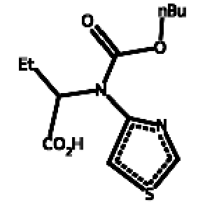 CCCCOC(=O)N(c1cscn1)C(CC)C(=O)O